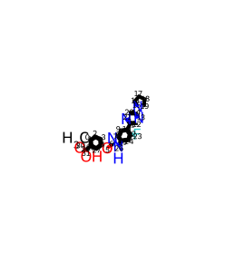 Cc1ccc(Oc2nc3cc(-c4cnc(N5CCCC5)cn4)c(F)cc3[nH]2)cc1C(=O)O